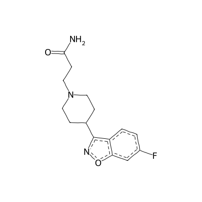 NC(=O)CCN1CCC(c2noc3cc(F)ccc23)CC1